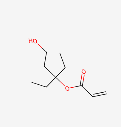 C=CC(=O)OC(CC)(CC)CCO